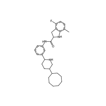 Cc1ccc(F)c2c1NC(C(=O)Nc1cccc(C3CCC(C4CCCCCCC4)CN3)c1)C2